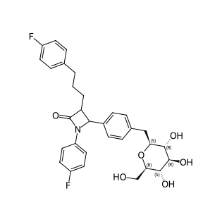 O=C1C(CCCc2ccc(F)cc2)C(c2ccc(C[C@@H]3O[C@H](CO)[C@@H](O)[C@H](O)[C@H]3O)cc2)N1c1ccc(F)cc1